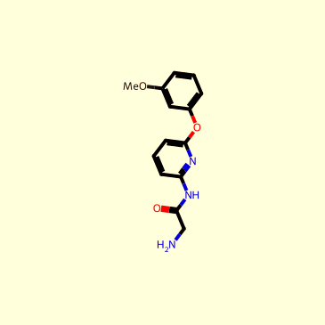 COc1cccc(Oc2cccc(NC(=O)CN)n2)c1